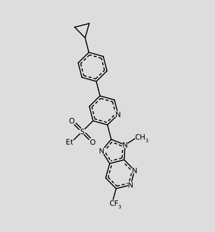 CCS(=O)(=O)c1cc(-c2ccc(C3CC3)cc2)cnc1-c1nc2cc(C(F)(F)F)nnc2n1C